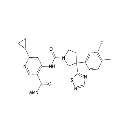 CNC(=O)c1cnc(C2CC2)cc1NC(=O)N1CCC(c2ccc(C)c(F)c2)(c2ncns2)C1